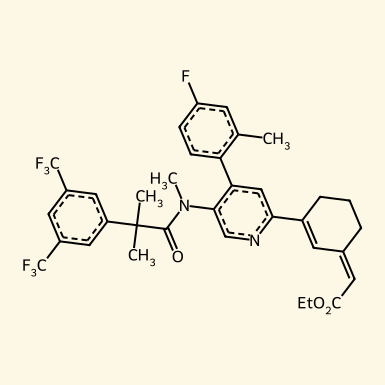 CCOC(=O)C=C1C=C(c2cc(-c3ccc(F)cc3C)c(N(C)C(=O)C(C)(C)c3cc(C(F)(F)F)cc(C(F)(F)F)c3)cn2)CCC1